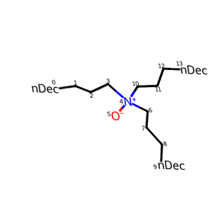 CCCCCCCCCCCCC[N+]([O-])(CCCCCCCCCCCCC)CCCCCCCCCCCCC